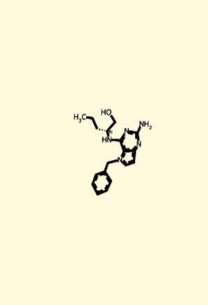 CCC[C@H](CO)Nc1nc(N)nc2ccn(Cc3ccccc3)c12